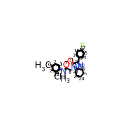 Cc1ccc(NC(=O)CN2C(=O)C(c3ccc(F)cc3)=NC23CCCCC3)c(C)c1